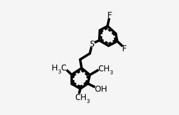 Cc1cc(C)c(CCSc2cc(F)cc(F)c2)c(C)c1O